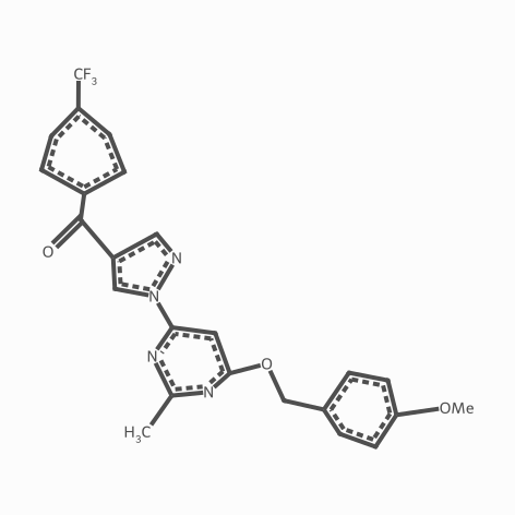 COc1ccc(COc2cc(-n3cc(C(=O)c4ccc(C(F)(F)F)cc4)cn3)nc(C)n2)cc1